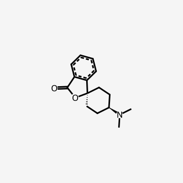 CN(C)[C@H]1CC[C@]2(CC1)OC(=O)c1ccccc12